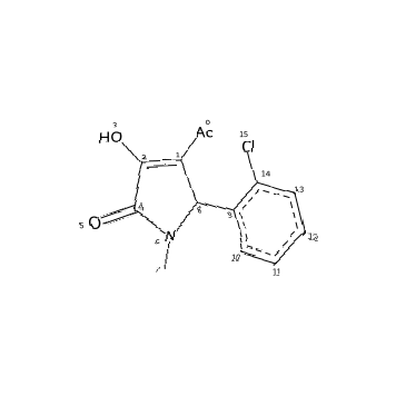 CC(=O)C1=C(O)C(=O)N(C)C1c1ccccc1Cl